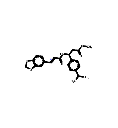 COC(=O)CC(NC(=O)/C=C/c1ccc2c(c1)OCO2)c1ccc(C(C)C)cc1